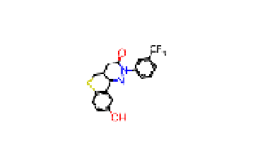 O=C1CC2CSc3ccc(O)cc3C2=NN1c1cccc(C(F)(F)F)c1